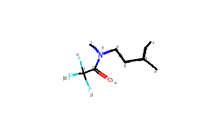 CC(C)CCN(C)C(=O)C(F)(F)F